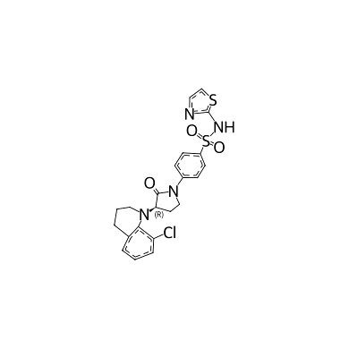 O=C1[C@H](N2CCCc3cccc(Cl)c32)CCN1c1ccc(S(=O)(=O)Nc2nccs2)cc1